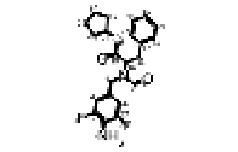 Nc1c(F)cc(CN(C=O)C(Cc2ccccc2)C(=O)OC2CCCC2)cc1F